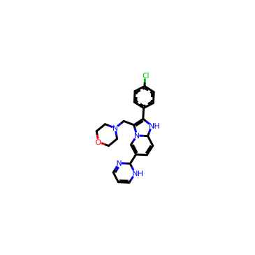 Clc1ccc(C2=C(CN3CCOCC3)N3C=C(C4N=CC=CN4)C=CC3N2)cc1